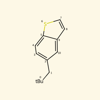 CC(C)(C)Cc1ccc2sccc2c1